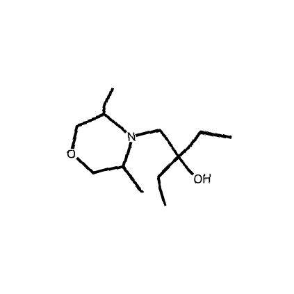 CCC(O)(CC)CN1C(C)COCC1C